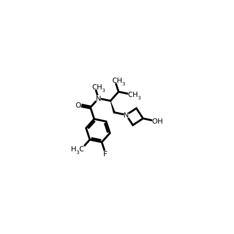 Cc1cc(C(=O)N(C)[C@H](CN2CC(O)C2)C(C)C)ccc1F